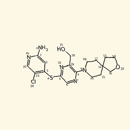 Nc1cc(Sc2cnc(N3CCC4(CCOC4)CC3)c(CO)n2)c(Cl)cn1